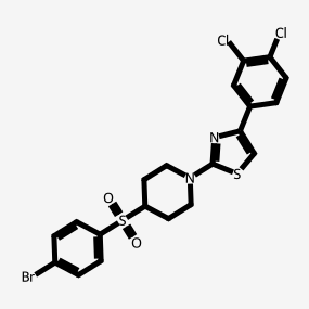 O=S(=O)(c1ccc(Br)cc1)C1CCN(c2nc(-c3ccc(Cl)c(Cl)c3)cs2)CC1